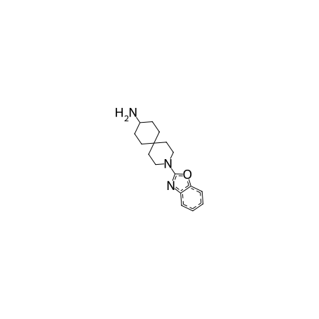 NC1CCC2(CC1)CCN(c1nc3ccccc3o1)CC2